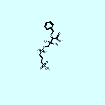 CC(C)(COS(=O)(=O)CCCS(C)(=O)=O)C(OCc1ccccc1)C(=O)O